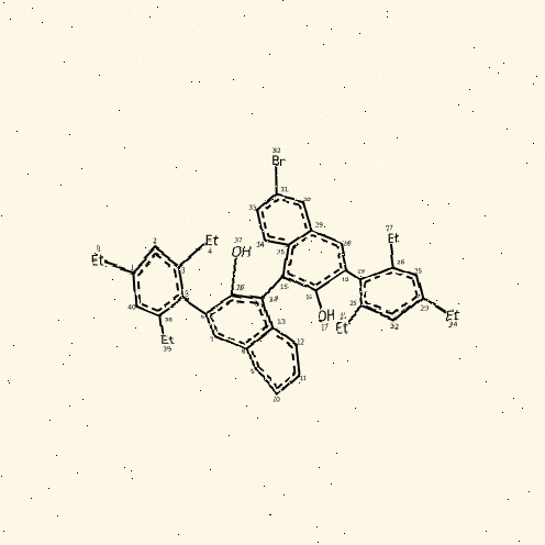 CCc1cc(CC)c(-c2cc3ccccc3c(-c3c(O)c(-c4c(CC)cc(CC)cc4CC)cc4cc(Br)ccc34)c2O)c(CC)c1